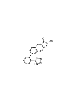 CCCc1cn(C(C)CC)c(=O)n1Cc1ccc(-c2ccccc2-c2nnn[nH]2)cn1